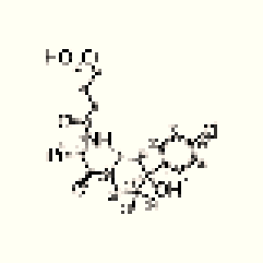 CC(C)[C@@H](NC(=O)CCCC(=O)O)C(=O)N1CC[C@](O)(c2ccc(Cl)cc2)C(C)(C)C1